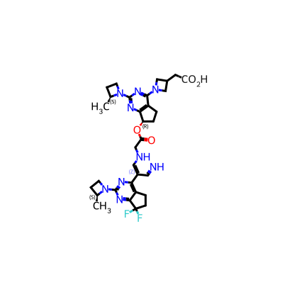 C[C@H]1CCN1c1nc2c(c(N3CC(CC(=O)O)C3)n1)CC[C@H]2OC(=O)CN/C=C(\C=N)c1nc(N2CC[C@@H]2C)nc2c1CCC2(F)F